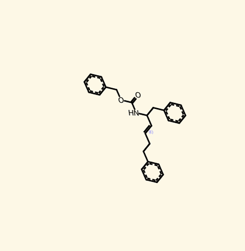 O=C(NC(/C=C/CCc1ccccc1)Cc1ccccc1)OCc1ccccc1